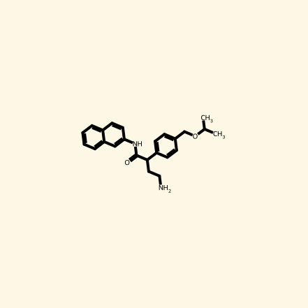 CC(C)OCc1ccc(C(CCN)C(=O)Nc2ccc3ccccc3c2)cc1